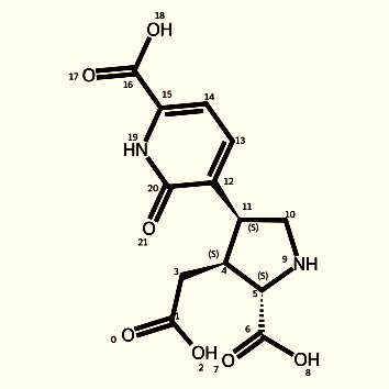 O=C(O)C[C@@H]1[C@@H](C(=O)O)NC[C@@H]1c1ccc(C(=O)O)[nH]c1=O